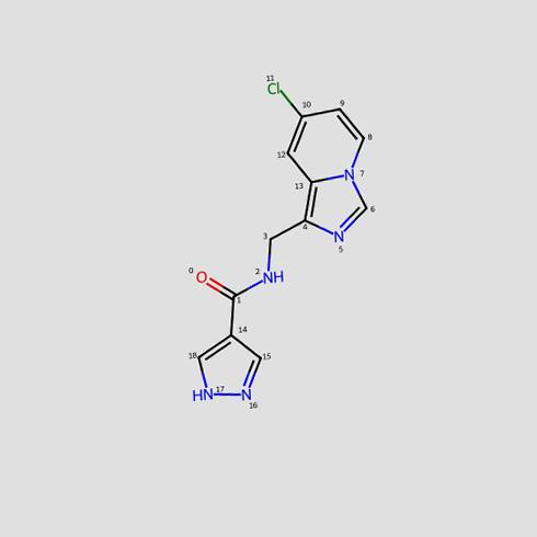 O=C(NCc1ncn2ccc(Cl)cc12)c1cn[nH]c1